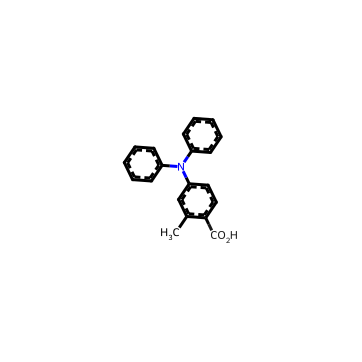 Cc1cc(N(c2ccccc2)c2ccccc2)ccc1C(=O)O